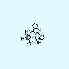 CC(C)(C)c1cc(Nc2nc(N3CCC[C@H]3C(=O)O)nc3c2CCC3)n[nH]1